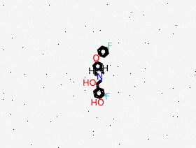 Oc1ccc(C(O)CN2C[C@H]3CC(Oc4ccc(F)cc4)C[C@H]3C2)cc1F